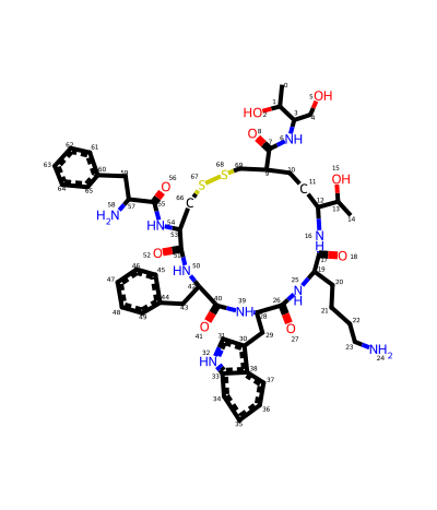 CC(O)C(CO)NC(=O)C1CCC(C(C)O)NC(=O)C(CCCCN)NC(=O)C(Cc2c[nH]c3ccccc23)NC(=O)C(Cc2ccccc2)NC(=O)C(NC(=O)C(N)Cc2ccccc2)CSSC1